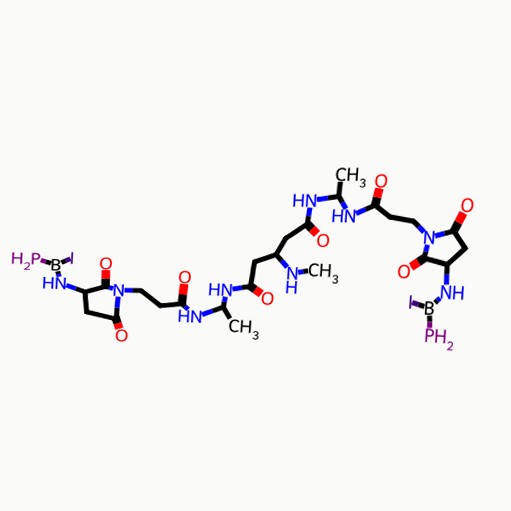 CNC(CC(=O)NC(C)NC(=O)CCN1C(=O)CC(NB(P)I)C1=O)CC(=O)NC(C)NC(=O)CCN1C(=O)CC(NB(P)I)C1=O